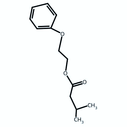 CC(C)CC(=O)OCCOc1ccccc1